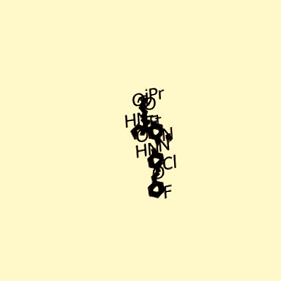 CCC(NCCS(=O)(=O)C(C)C)C1(c2cc3c(Nc4ccc(OCc5cccc(F)c5)c(Cl)c4)ncnc3cc2F)CC=CO1